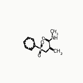 C=C(CS(=O)(=O)c1ccccc1)C(=O)NC